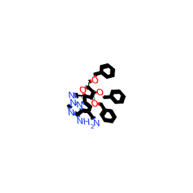 N#Cc1cc([C@]2(C#N)O[C@H](COCc3ccccc3)[C@@H](OCc3ccccc3)[C@H]2OCc2ccccc2)n2ncnc(N)c12